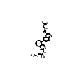 COC[C@H](C)Nc1ncc2c(n1)CCCC=C2c1ccc2ncc(C(=O)NCC(F)F)n2c1